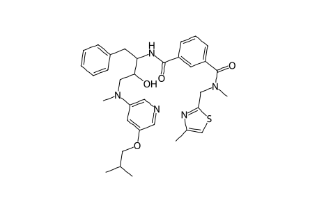 Cc1csc(CN(C)C(=O)c2cccc(C(=O)NC(Cc3ccccc3)C(O)CN(C)c3cncc(OCC(C)C)c3)c2)n1